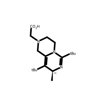 C[C@@H]1N=C(C(C)(C)C)N2CCN(CC(=O)O)CC2=C1C(C)(C)C